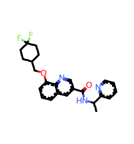 CC(NC(=O)c1cnc2c(OCC3CCC(F)(F)CC3)cccc2c1)c1ccccn1